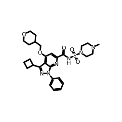 CN1CCN(S(=O)(=O)NC(=O)c2cc(OCC3CCOCC3)c3c(C4CCC4)nn(-c4ccccc4)c3n2)CC1